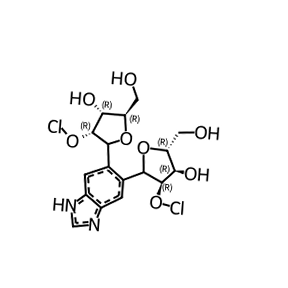 OC[C@H]1OC(c2cc3nc[nH]c3cc2C2O[C@H](CO)[C@@H](O)[C@H]2OCl)[C@H](OCl)[C@@H]1O